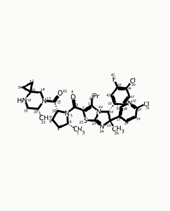 CC(C)C1=C(C(=O)N2[C@H](C)CC[C@@H]2C(=O)N2CC3(CC3)NC[C@H]2C)SC2=N[C@@](C)(c3ccc(Cl)nc3)[C@@H](c3ccc(Cl)c(F)c3)N21